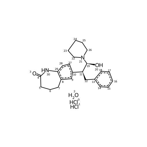 Cl.Cl.O.O=C1CCCc2cc([C@H](Cc3ccccc3)[C@H](O)N3CCCCC3)ccc2N1